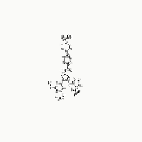 COc1cc(CF)cc(-c2nc(NC(=O)c3cnc(N4CCC(C(=O)O)CC4)cn3)sc2CN2CCC[C@H]2C(F)(F)F)c1